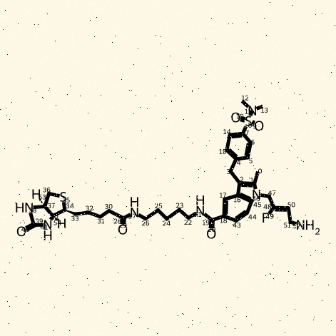 Cc1c(Cc2ccc(S(=O)(=O)N(C)C)cc2)c2cc(C(=O)NCCCCCNC(=O)CCCC[C@@H]3SC[C@@H]4NC(=O)N[C@@H]43)ccc2n1C/C(F)=C/CN